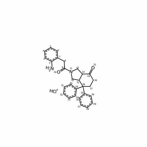 Cl.Nc1ccccc1CC(=O)N1CC2C(=O)CCC(c3ccccc3)(c3ccccc3)C2C1